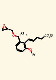 CCOC(=O)CC/C=C/c1c(OC(C)C)cccc1[C@@H](C)OC[C@H]1CO1